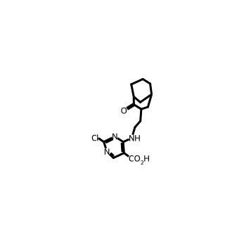 O=C(O)c1cnc(Cl)nc1NCCC1CC2CCCC(C2)C1=O